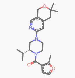 Cc1occc1C(=O)N1CCN(c2cc3c(cn2)COC(C)(C)C3)C[C@H]1C(C)C